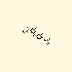 COC(=O)CCc1ccc(Oc2cc(C)cc(C(C)N)c2)cc1C